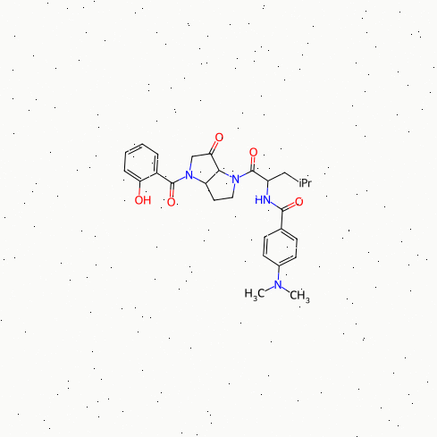 CC(C)CC(NC(=O)c1ccc(N(C)C)cc1)C(=O)N1CCC2C1C(=O)CN2C(=O)c1ccccc1O